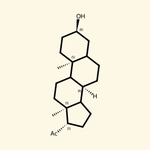 CC(=O)[C@H]1CCC2[C@@H]3CCC4C[C@H](O)CC[C@]4(C)C3CC[C@@]21C